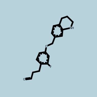 O=CCCc1ccc(OCc2ccc3c(c2)NCCC3)cc1F